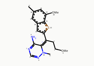 COCC/C(=C1/C(N)=NC=NN1C)c1cc2cc(C)cc(OC)c2s1